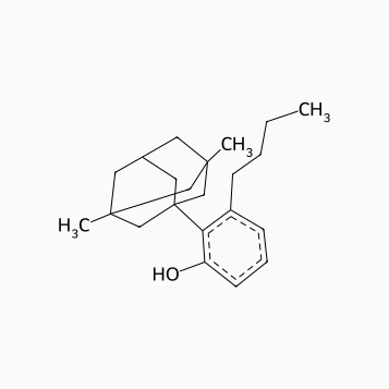 CCCCc1cccc(O)c1C12CC3CC(C)(CC(C)(C3)C1)C2